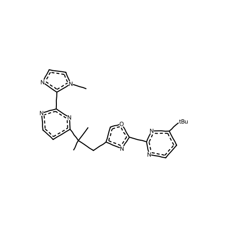 Cn1ccnc1-c1nccc(C(C)(C)Cc2coc(-c3nccc(C(C)(C)C)n3)n2)n1